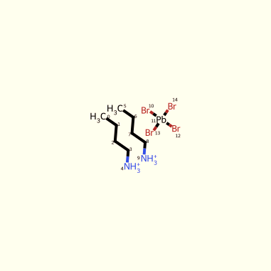 CCCC[NH3+].CCCC[NH3+].[Br][Pb]([Br])([Br])[Br]